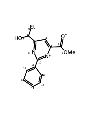 CCC(O)c1cc(C(=O)OC)nc(-c2ccccc2)n1